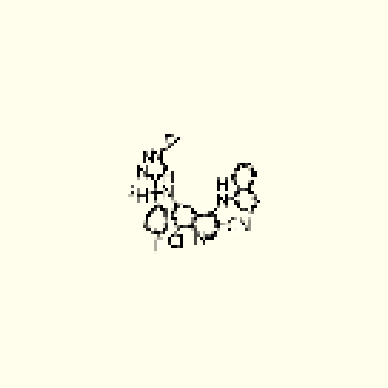 [2H]C(Nc1cc(Cl)c2ncc(C#N)c(Nc3cccc4ccccc34)c2c1)(c1ccc(F)cc1)c1cn(C2CC2)nn1